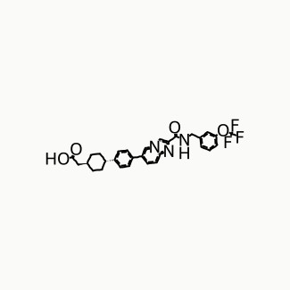 O=C(O)C[C@H]1CC[C@H](c2ccc(-c3ccc4nc(C(=O)NCc5cccc(OC(F)(F)F)c5)cn4c3)cc2)CC1